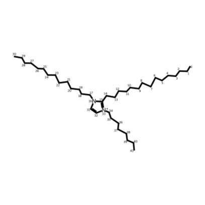 CCCCCCCCCCCCCCCc1n(CCCCCCCCCCCCCC)cc[n+]1CCCCCCCC